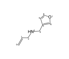 C=CCNCc1[c]occ1